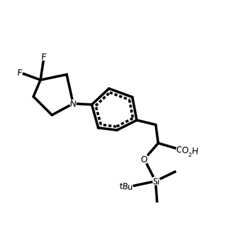 CC(C)(C)[Si](C)(C)OC(Cc1ccc(N2CCC(F)(F)C2)cc1)C(=O)O